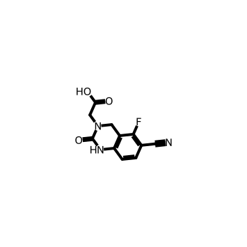 N#Cc1ccc2c(c1F)CN(CC(=O)O)C(=O)N2